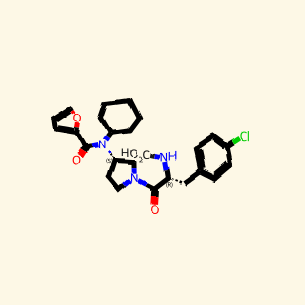 O=C(O)N[C@H](Cc1ccc(Cl)cc1)C(=O)N1CC[C@H](N(C(=O)c2ccco2)C2CCCCC2)C1